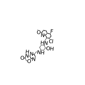 COc1ccc2c(F)cc(Cl)c(CN[C@@H]3CC[C@@H](NCc4cnc5c(n4)NC(=O)CO5)C[C@@H]3O)c2n1